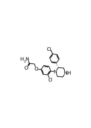 NC(=O)COc1ccc(N2CCNC[C@H]2c2ccc(Cl)cc2)c(Cl)c1